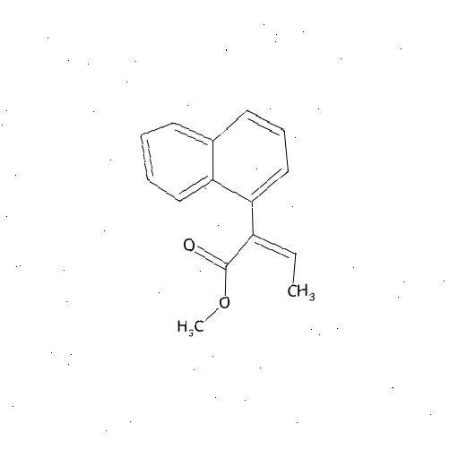 CC=C(C(=O)OC)c1cccc2ccccc12